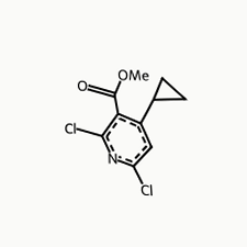 COC(=O)c1c(C2CC2)cc(Cl)nc1Cl